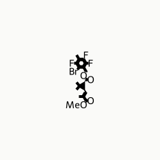 COC(=O)/C(C)=C/[C@@H]1[C@@H](C(=O)OCc2c(F)c(F)c(C)c(F)c2Br)C1(C)C